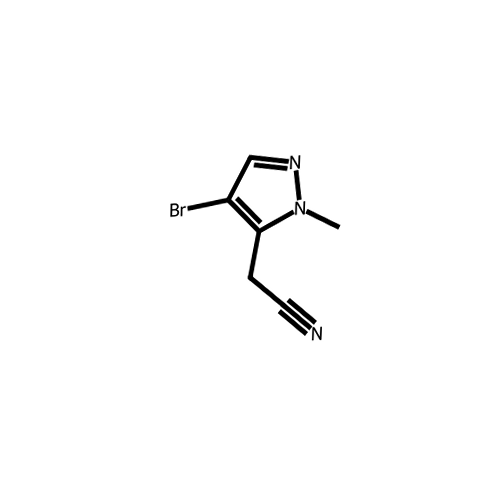 Cn1ncc(Br)c1CC#N